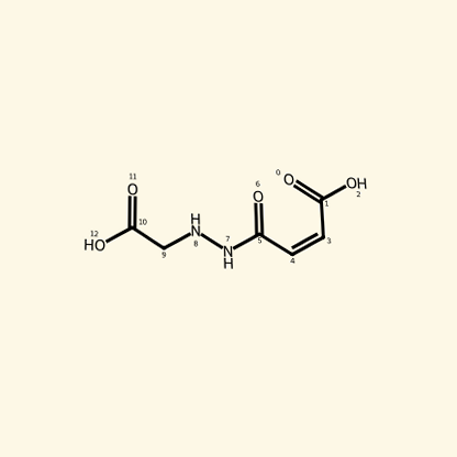 O=C(O)/C=C\C(=O)NNCC(=O)O